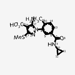 CSc1nn(-c2cc(C(=O)NC3CC3)ccc2C)c(N)c1C(=O)O